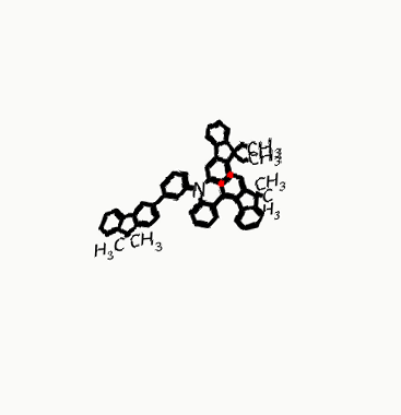 CCC1(CC)c2ccccc2-c2cc(N(c3cccc(-c4ccc5c(c4)-c4ccccc4C5(C)C)c3)c3ccccc3-c3cccc4c3-c3ccccc3C4(C)C)ccc21